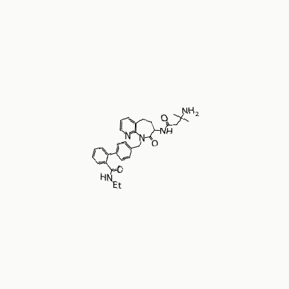 CCNC(=O)c1ccccc1-c1ccc(CN2C(=O)C(NC(=O)CC(C)(C)N)CCc3cccnc32)cc1